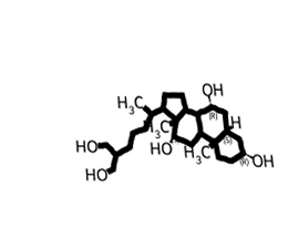 CC(CCCC(CO)CO)C1CCC2C3C(C[C@H](O)C12C)C1(C)CC[C@@H](O)C[C@H]1C[C@H]3O